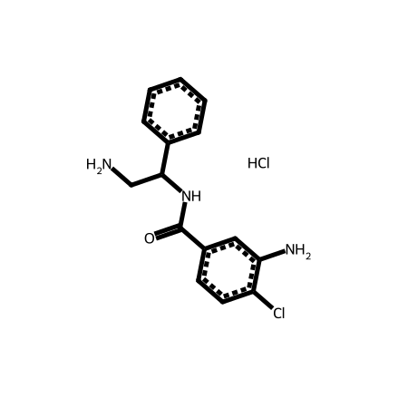 Cl.NCC(NC(=O)c1ccc(Cl)c(N)c1)c1ccccc1